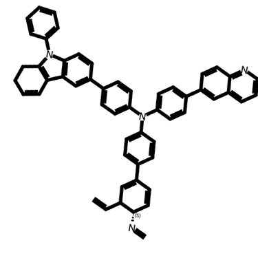 C=CC1C=C(c2ccc(N(c3ccc(-c4ccc5ncccc5c4)cc3)c3ccc(-c4ccc5c(c4)c4c(n5-c5ccccc5)CCC=C4)cc3)cc2)C=C[C@@H]1N=C